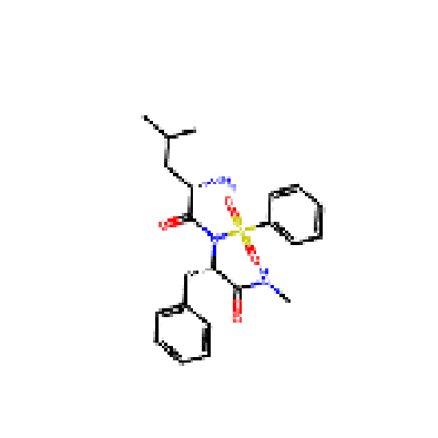 CNC(=O)[C@H](Cc1ccccc1)N(C(=O)[C@@H](N)CC(C)C)S(=O)(=O)c1ccccc1